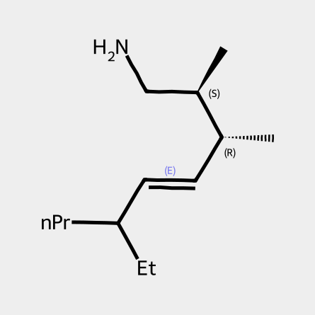 CCCC(/C=C/[C@@H](C)[C@H](C)CN)CC